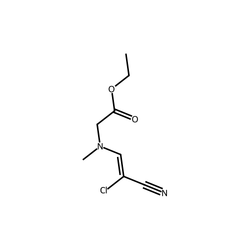 CCOC(=O)CN(C)C=C(Cl)C#N